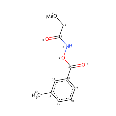 COCC(=O)NOC(=O)c1cccc(C)c1